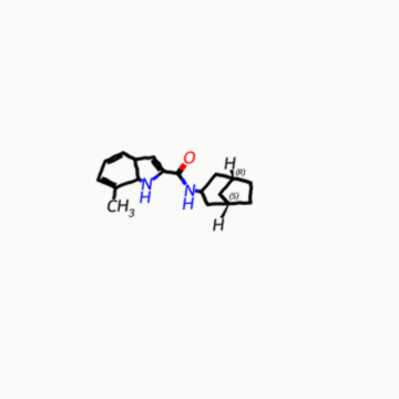 CC1=CC=CC2C=C(C(=O)NC3C[C@H]4CC[C@@H](C3)C4)NC12